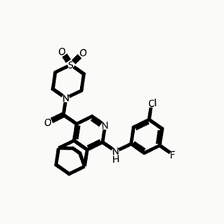 O=C(c1cnc(Nc2cc(F)cc(Cl)c2)c2c1C1CCC2CC1)N1CCS(=O)(=O)CC1